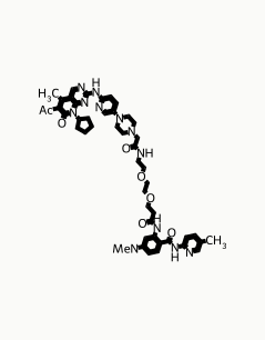 CNc1ccc(C(=O)Nc2ccc(C)cn2)c(NC(=O)CCOCCOCCNC(=O)CN2CCN(c3ccc(Nc4ncc5c(C)c(C(C)=O)c(=O)n(C6CCCC6)c5n4)nc3)CC2)c1